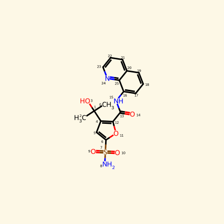 CC(C)(O)c1cc(S(N)(=O)=O)oc1C(=O)Nc1cccc2cccnc12